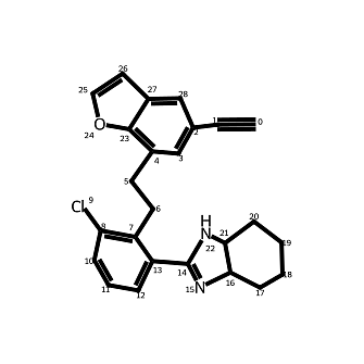 C#Cc1cc(CCc2c(Cl)cccc2C2=NC3CCCCC3N2)c2occc2c1